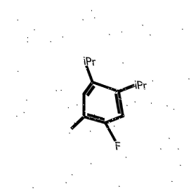 Cc1cc(C(C)C)c(C(C)C)cc1F